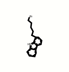 CC(C)CCCCCc1cccc2c1[nH]c1ccccc12